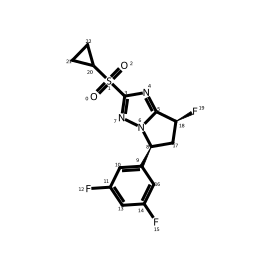 O=S(=O)(c1nc2n(n1)[C@H](c1cc(F)cc(F)c1)C[C@@H]2F)C1CC1